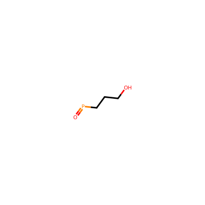 O=PCCCO